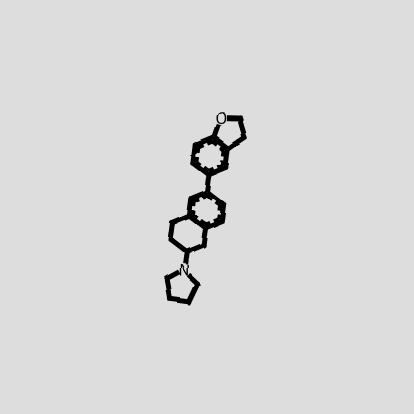 c1cc2c(cc1-c1ccc3c(c1)CCO3)CCC(N1CCCC1)C2